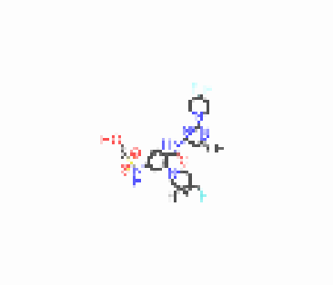 Cc1cc(NC(=O)c2ccc(NS(=O)(=O)CCO)cc2N2CC[C@]3(CF)C[C@@H]3C2)nc(N2CCC(F)(F)CC2)n1